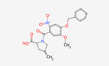 C=C1CC(C(=O)O)N(C(=O)c2cc(OC)c(OCc3ccccc3)cc2[N+](=O)[O-])C1